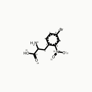 NC(Cc1ccc(Br)cc1[N+](=O)[O-])C(=O)O